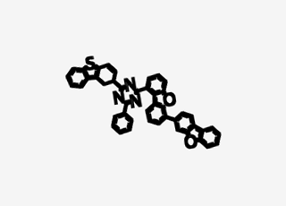 C1=CC(c2nc(-c3ccccc3)nc(-c3cccc4oc5c(-c6ccc7c(c6)oc6ccccc67)cccc5c34)n2)Cc2c1sc1ccccc21